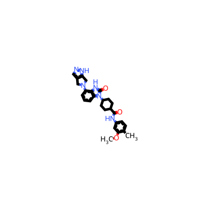 COc1cc(NC(=O)C2CCC(n3c(=O)[nH]c4c(N5Cc6cn[nH]c6C5)cccc43)CC2)ccc1C